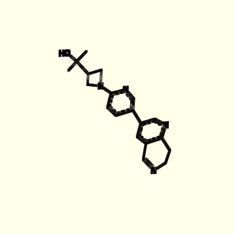 CC(C)(O)C1CN(c2ccc(-c3cnc4c(c3)C=NCC4)cn2)C1